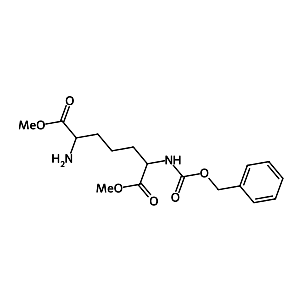 COC(=O)C(N)CCCC(NC(=O)OCc1ccccc1)C(=O)OC